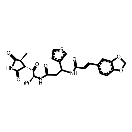 CC(C)[C@H](NC(=O)CC(NC(=O)/C=C/c1ccc2c(c1)OCO2)c1ccsc1)C(=O)[C@@H]1C(=O)NC(=O)[C@H]1C